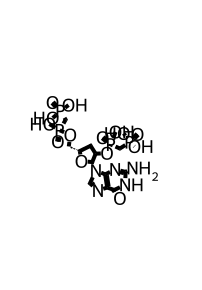 Nc1nc2c(ncn2[C@@H]2O[C@H](COP(=O)(O)CP(=O)(O)O)CC2OP(=O)(O)CP(=O)(O)O)c(=O)[nH]1